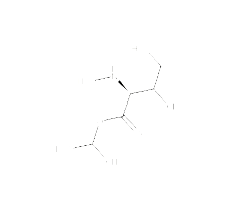 CCC(C)[C@H](NC)C(=O)OC(C)C